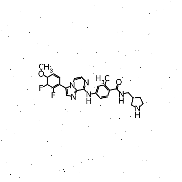 COC1C=CC(c2cnc3c(Nc4ccc(C(=O)NCC5CCNC5)c(C)c4)nccn23)=C(F)C1F